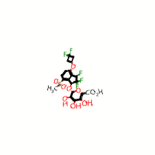 CS(=O)(=O)c1ccc(OC2CC(F)(F)C2)c2c1[C@H](O[C@@H]1OC(C(=O)O)[C@@H](O)[C@@H](O)[C@H]1O)C(F)(F)[C@@H]2F